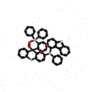 c1ccc(N(c2ccc3c(c2)C2(c4ccccc4S3)c3ccccc3[Si](c3ccccc3)(c3ccccc3)c3ccccc32)c2cccc3oc4ccccc4c23)cc1